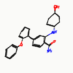 NC(=O)c1ccc(-c2ccccc2Oc2ccccc2)cc1N[C@H]1CC[C@H](O)CC1